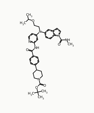 CNC(=O)n1ccc2cc(N(CCOC(C)C)c3ccnc(NC(=O)c4ccc(C5CCN(C(=O)OC(C)(C)C)CC5)cc4)c3)ccc21